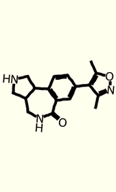 Cc1noc(C)c1-c1ccc2c(c1)C(=O)NCC1CNCC21